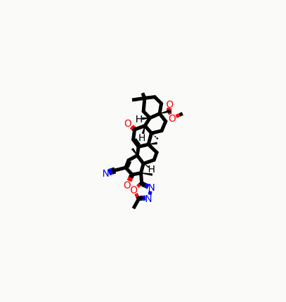 COC(=O)[C@]12CCC(C)(C)C[C@H]1[C@H]1C(=O)C=C3[C@@]4(C)C=C(C#N)C(=O)[C@@](C)(c5nnc(C)o5)[C@@H]4CC[C@@]3(C)[C@]1(C)CC2